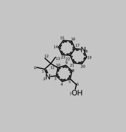 CC1=Nc2cc(CO)ccc2C1(C)C.c1ccc2ncccc2c1